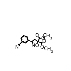 COC(=O)C1(C(=O)OC)CC(c2cccc(C#N)c2)=NO1